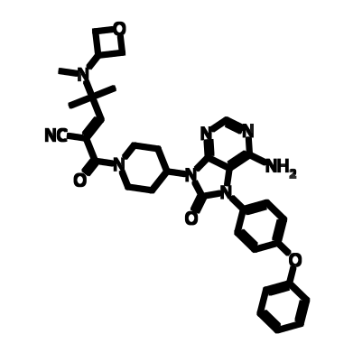 CN(C1COC1)C(C)(C)C=C(C#N)C(=O)N1CCC(n2c(=O)n(-c3ccc(Oc4ccccc4)cc3)c3c(N)ncnc32)CC1